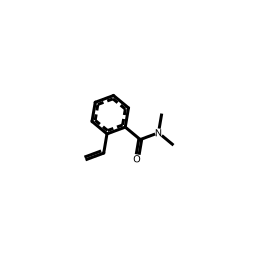 C=Cc1ccccc1C(=O)N(C)C